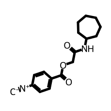 [C-]#[N+]c1ccc(C(=O)OCC(=O)NC2CCCCCC2)cc1